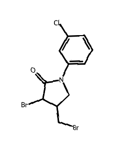 O=C1C(Br)C(CBr)CN1c1cccc(Cl)c1